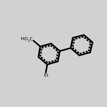 CCc1cc(C(=O)O)cc(-c2ccccc2)c1